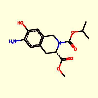 COC(=O)[C@@H]1Cc2cc(N)c(O)cc2CN1C(=O)OC(C)C